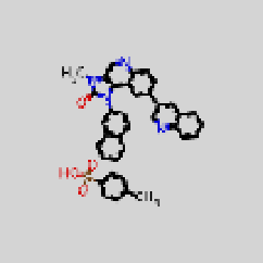 Cc1ccc(S(=O)(=O)O)cc1.Cn1c(=O)n(-c2ccc3ccccc3c2)c2c3cc(-c4cnc5ccccc5c4)ccc3ncc21